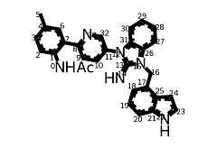 CC(=O)Nc1ccc(C)cc1-c1ccc(-n2c(=N)n(Cc3cccc4[nH]ccc34)c3ccccc32)cn1